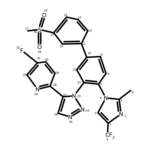 Cc1nc(C(F)(F)F)cn1-c1ccc(-c2cccc(S(C)(=O)=O)c2)cc1-n1nncc1-c1ccc(F)cn1